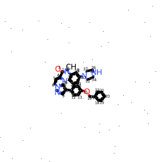 CN(C(=O)c1ccn2ncc(-c3ccc(OCc4ccccc4)cc3)c2n1)c1cccc(N2CCNCC2)c1